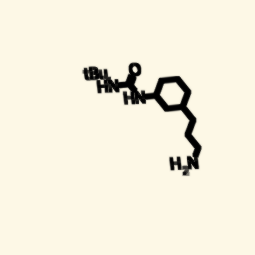 CC(C)(C)NC(=O)NC1CCCC(CCCN)C1